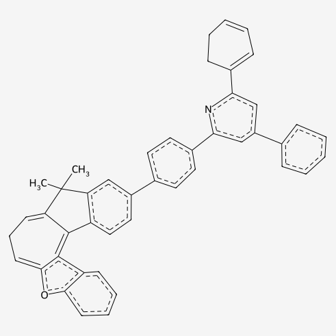 CC1(C)C2=CCC=c3oc4ccccc4c3=C2c2ccc(-c3ccc(-c4cc(-c5ccccc5)cc(C5=CC=CCC5)n4)cc3)cc21